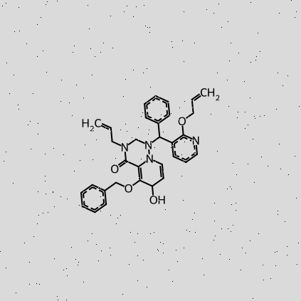 C=CCOc1ncccc1C(c1ccccc1)N1CN(CC=C)C(=O)C2=C(OCc3ccccc3)C(O)C=CN21